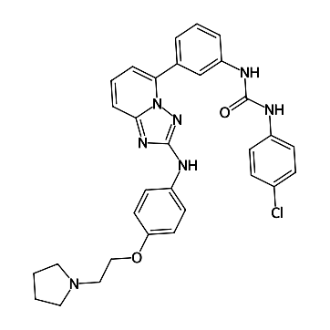 O=C(Nc1ccc(Cl)cc1)Nc1cccc(-c2cccc3nc(Nc4ccc(OCCN5CCCC5)cc4)nn23)c1